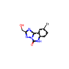 CCc1ccc2[nH]c(=O)n3nc(CO)nc3c2c1